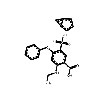 CCNc1cc(Oc2ccccc2)c(S(N)(=O)=O)cc1C(=O)O.c1cc2cc-2c1